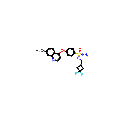 COc1ccc2c(Oc3ccc(S(N)(=O)=NCC4CC(F)(F)C4)cc3)ccnc2c1